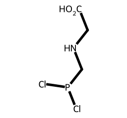 O=C(O)CNCP(Cl)Cl